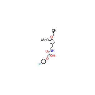 C#CCOc1ccc(CCNC(=O)[C@@H](O)COc2ccc(F)cc2)cc1OC